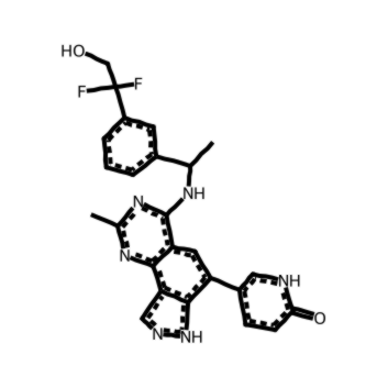 Cc1nc(NC(C)c2cccc(C(F)(F)CO)c2)c2cc(-c3ccc(=O)[nH]c3)c3[nH]ncc3c2n1